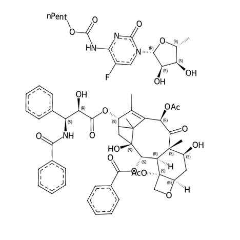 CC(=O)O[C@H]1C(=O)[C@@]2(C)[C@H]([C@H](OC(=O)c3ccccc3)[C@]3(O)C[C@H](OC(=O)[C@H](O)[C@@H](NC(=O)c4ccccc4)c4ccccc4)C(C)=C1C3(C)C)[C@]1(OC(C)=O)CO[C@@H]1C[C@@H]2O.CCCCCOC(=O)Nc1nc(=O)n([C@@H]2O[C@H](C)[C@@H](O)[C@H]2O)cc1F